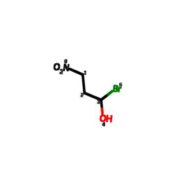 O=[N+]([O-])CCC(O)Br